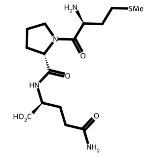 CSCC[C@H](N)C(=O)N1CCC[C@H]1C(=O)N[C@@H](CCC(N)=O)C(=O)O